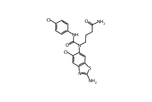 NC(=O)CCCN(C(=O)Nc1ccc(Cl)cc1)c1cc2sc(N)nc2cc1Cl